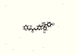 O=C(/C=C/c1cnc(N[C@]2(C(=O)c3ccc(Cl)cc3)CCNC2)cn1)NOC1CCCCO1